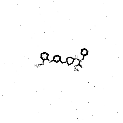 COC(=O)[C@H](Cc1ccccc1)NC1CCN(Cc2cccc(Oc3ccccc3OC)c2)CC1